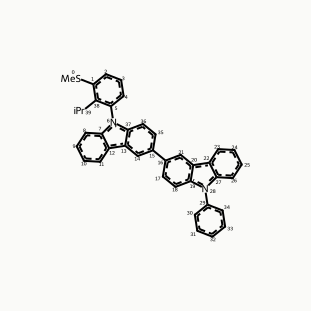 CSc1cccc(-n2c3ccccc3c3cc(-c4ccc5c(c4)c4ccccc4n5-c4ccccc4)ccc32)c1C(C)C